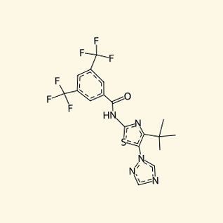 CC(C)(C)c1nc(NC(=O)c2cc(C(F)(F)F)cc(C(F)(F)F)c2)sc1-n1cncn1